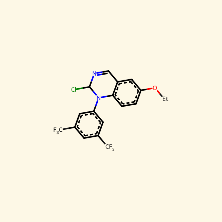 CCOc1ccc2c(c1)C=NC(Cl)N2c1cc(C(F)(F)F)cc(C(F)(F)F)c1